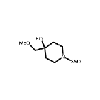 COCC1(O)CCN(SC)CC1